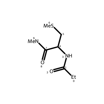 CCC(=O)NC(CSC)C(=O)NC